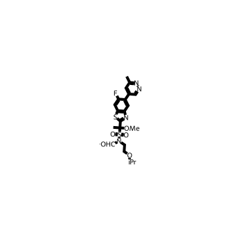 COC(C)(c1nc2cc(-c3cnnc(C)c3)c(F)cc2s1)S(=O)(=O)N([C]=O)CCOC(C)C